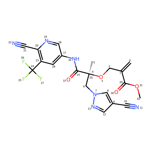 C=C(CO[C@@](C)(Cn1cc(C#N)cn1)C(=O)Nc1cnc(C#N)c(C(F)(F)F)c1)C(=O)OC